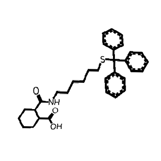 O=C(O)C1CCCCC1C(=O)NCCCCCCSC(c1ccccc1)(c1ccccc1)c1ccccc1